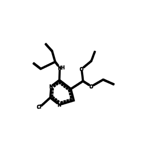 CCOC(OCC)c1cnc(Cl)nc1NC(CC)CC